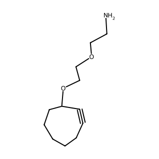 NCCOCCOC1C#CCCCCC1